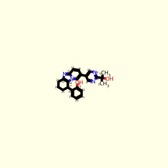 CC(C)(O)c1ncc(-c2ccc3nc4c(n3c2)C(c2ccccc2O)CCC4)cn1